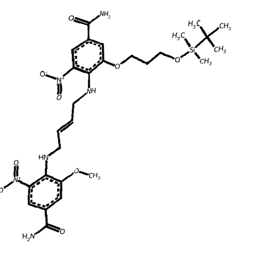 COc1cc(C(N)=O)cc([N+](=O)[O-])c1NCC=CCNc1c(OCCCO[Si](C)(C)C(C)(C)C)cc(C(N)=O)cc1[N+](=O)[O-]